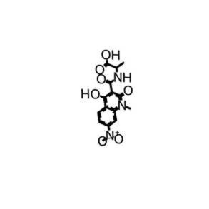 CC(NC(=O)c1c(O)c2ccc([N+](=O)[O-])cc2n(C)c1=O)C(=O)O